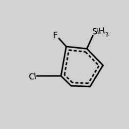 Fc1c([SiH3])cccc1Cl